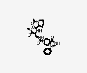 COC(=O)C(CNC(=O)N1CCC2(CC1)C(=O)NCN2c1ccccc1)NC(=O)C1CCCCN1C(C)=O